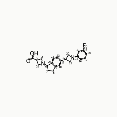 O=C(O)C1CN(C2CCc3cc(C4CN(c5cccc(F)c5)C4)ccc32)C1